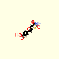 O=C1NC(=O)C(=Cc2ccc(-c3ccc(C(=O)O)cc3)o2)S1